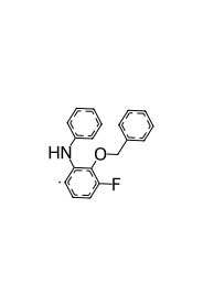 Fc1cc[c]c(Nc2ccccc2)c1OCc1ccccc1